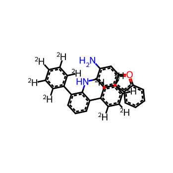 [2H]c1c([2H])c([2H])c(-c2cccc(-c3c([2H])c([2H])c([2H])c([2H])c3[2H])c2Nc2cc3c(cc2N)oc2ccccc23)c([2H])c1[2H]